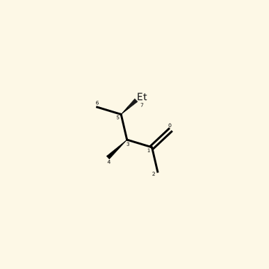 C=C(C)[C@@H](C)[C@@H](C)CC